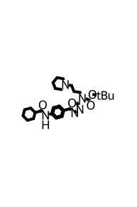 CC(C)(C)OC(=O)N(CCCN1CCCCC1)c1nnc(-c2ccc(NC(=O)C3CCCCC3)cc2)o1